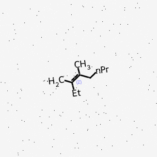 [CH2]/C(CC)=C(\C)CCCC